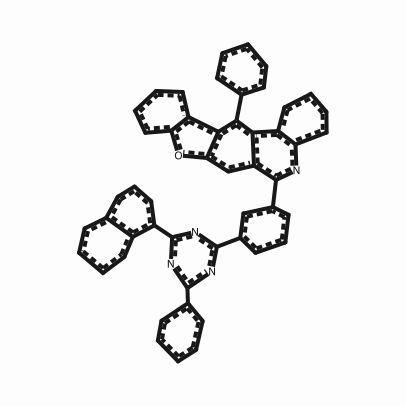 c1ccc(-c2nc(-c3cccc(-c4nc5ccccc5c5c(-c6ccccc6)c6c(cc45)oc4ccccc46)c3)nc(-c3cccc4ccccc34)n2)cc1